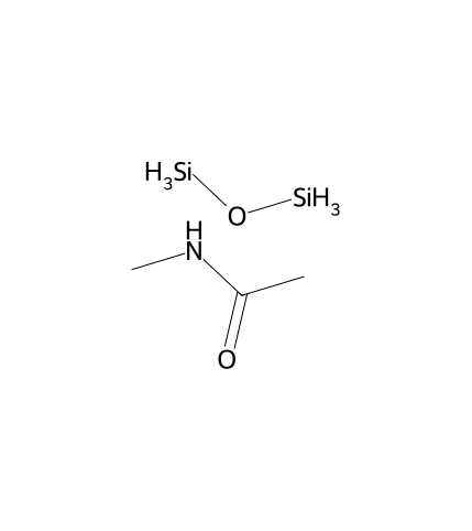 CNC(C)=O.[SiH3]O[SiH3]